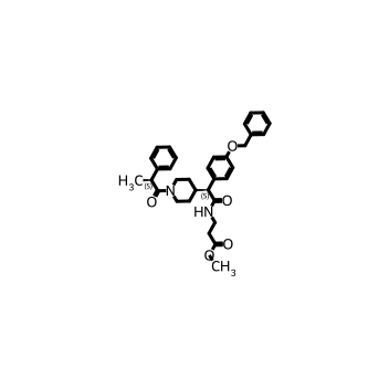 COC(=O)CCNC(=O)[C@H](c1ccc(OCc2ccccc2)cc1)C1CCN(C(=O)[C@@H](C)c2ccccc2)CC1